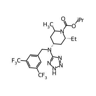 CC[C@@H]1C[C@H](N(Cc2cc(C(F)(F)F)cc(C(F)(F)F)c2)c2nn[nH]n2)CC(C)N1C(=O)OC(C)C